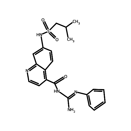 CC(C)CS(=O)(=O)Nc1ccc2c(C(=O)NC(N)=Nc3ccccc3)ccnc2c1